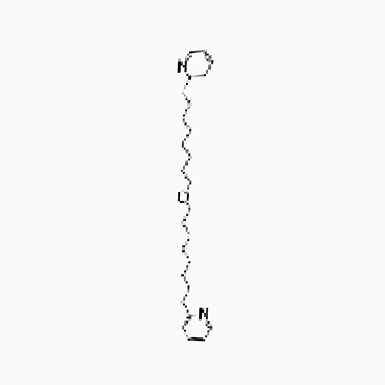 c1ccc(CCCCCCCCOCCCCCCCCc2ccccn2)nc1